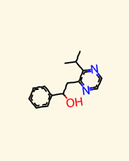 CC(C)c1nccnc1CC(O)c1ccccc1